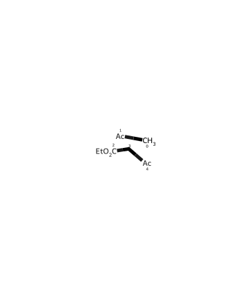 CC(C)=O.CCOC(=O)CC(C)=O